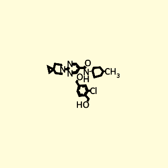 C[C@H]1CC[C@H](NC(=O)c2cnc(N3CCC4(CC3)CC4)nc2OCc2ccc(CO)c(Cl)c2)CC1